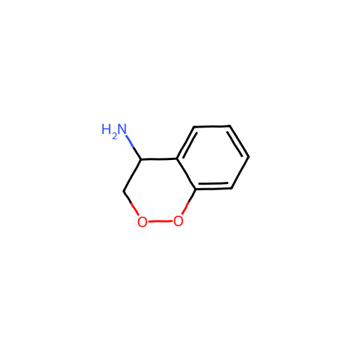 NC1COOc2ccccc21